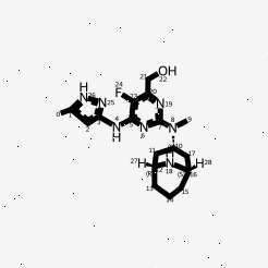 Cc1cc(Nc2nc(N(C)[C@H]3C[C@H]4CCC[C@@H](C3)N4)nc(CO)c2F)n[nH]1